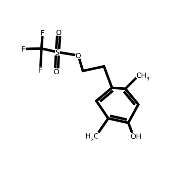 Cc1cc(CCOS(=O)(=O)C(F)(F)F)c(C)cc1O